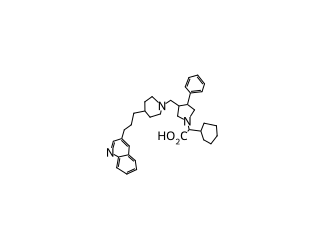 O=C(O)C(C1CCCCC1)N1CC(CN2CCC(CCCc3cnc4ccccc4c3)CC2)C(c2ccccc2)C1